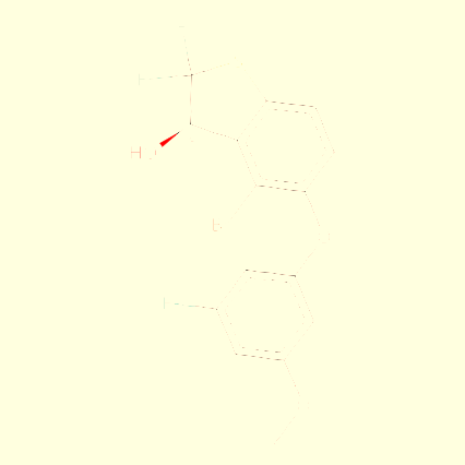 COc1cc(F)cc(Oc2ccc3c(c2Br)[C@@H](O)C(F)(F)S3)c1